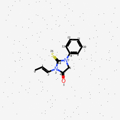 CC=CN1C(=O)CN(c2ccccc2)C1=S